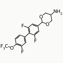 NC1COC(c2cc(F)c(-c3ccc(OC(F)(F)F)c(F)c3)c(F)c2)OC1